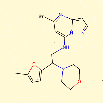 Cc1ccc(C(CNc2cc(C(C)C)nc3ccnn23)N2CCOCC2)o1